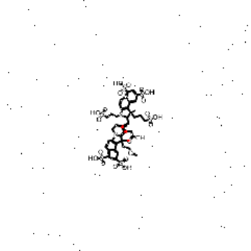 COCCC1(C)C(=CC=CC2N(CCCS(=O)(=O)O)c3ccc4c(S(=O)(=O)O)cc(S(=O)(=O)O)cc4c3C2(C)CCCS(=O)(=O)O)N(CCCCCC(=O)O)c2ccc3c(S(=O)(=O)O)cc(S(=O)(=O)O)cc3c21